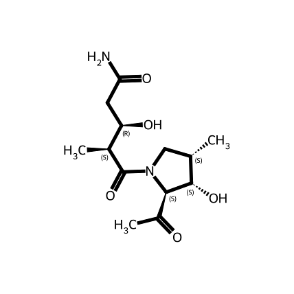 CC(=O)[C@@H]1[C@@H](O)[C@@H](C)CN1C(=O)[C@@H](C)[C@H](O)CC(N)=O